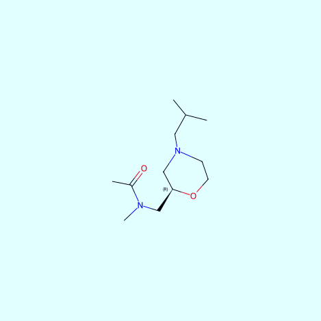 CC(=O)N(C)C[C@H]1CN(CC(C)C)CCO1